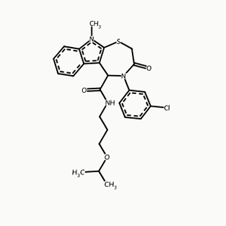 CC(C)OCCCNC(=O)C1c2c(n(C)c3ccccc23)SCC(=O)N1c1cccc(Cl)c1